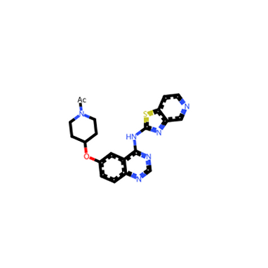 CC(=O)N1CCC(Oc2ccc3ncnc(Nc4nc5cnccc5s4)c3c2)CC1